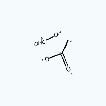 CC([O])=O.[O]C=O